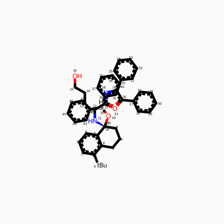 CC(C)(C)c1cccc2c1CCC[C@@]2(N[C@H](CCCO)c1nc(-c2ccccc2)c(-c2ccccc2)o1)O[SiH](c1ccccc1)c1ccccc1